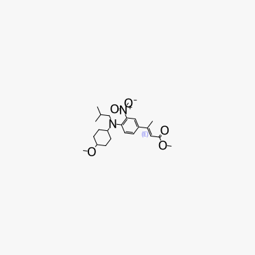 COC(=O)/C=C(\C)c1ccc(N(CC(C)C)C2CCC(OC)CC2)c([N+](=O)[O-])c1